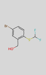 OCc1cc(Br)ccc1SC(F)F